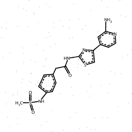 CS(=O)(=O)Nc1ccc(CC(=O)Nc2nc(-c3ccnc(N)c3)cs2)cc1